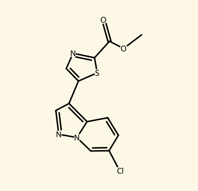 COC(=O)c1ncc(-c2cnn3cc(Cl)ccc23)s1